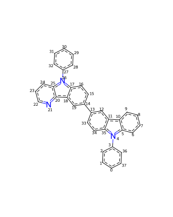 c1ccc(-n2c3ccccc3c3cc(-c4ccc5c(c4)c4ncccc4n5-c4ccccc4)ccc32)cc1